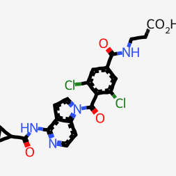 O=C(O)CCNC(=O)c1cc(Cl)c(C(=O)n2ccc3c(NC(=O)C4CC4)nccc32)c(Cl)c1